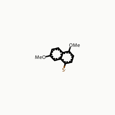 COc1ccc2c(OC)ccc([S])c2c1